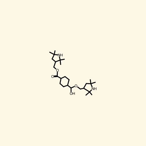 CC1(C)CC(COC(=O)C2CCC(C(O)OCC3CC(C)(C)NC3(C)C)CC2)C(C)(C)N1